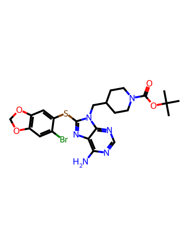 CC(C)(C)OC(=O)N1CCC(Cn2c(Sc3cc4c(cc3Br)OCO4)nc3c(N)ncnc32)CC1